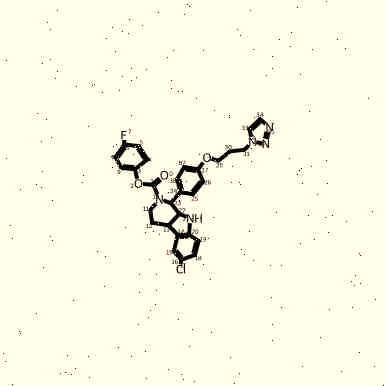 O=C(Oc1ccc(F)cc1)N1CCC2c3cc(Cl)ccc3NC2C1c1ccc(OCCCn2ccnn2)cc1